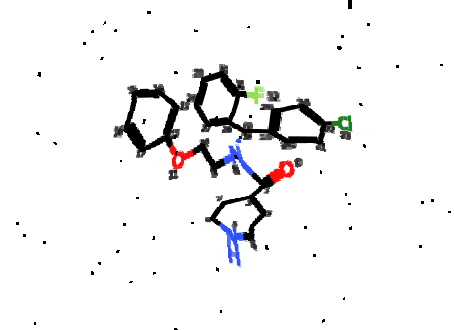 O=C(C1CCNCC1)N(CCOc1ccccc1)[C@@H](c1ccc(Cl)cc1)c1ccccc1F